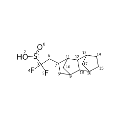 O=S(O)C(F)(F)CC1CC2CC1C1C3CCC(C3)C21